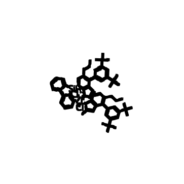 CCCc1ccc2c(c1-c1cc(C(C)(C)C)cc(C(C)(C)C)c1)C=C(C)[CH]2[Zr]([Cl])([Cl])([c]1cccc2c1[SiH2]c1ccccc1-2)[CH]1C(C)=Cc2c1ccc(CCC)c2-c1cc(C(C)(C)C)cc(C(C)(C)C)c1